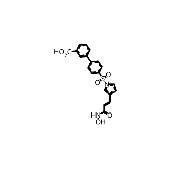 O=C(C=Cc1ccn(S(=O)(=O)c2ccc(-c3cccc(C(=O)O)c3)cc2)c1)NO